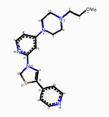 COCCN1CCN(c2ccnc(N3C=C(c4ccncc4)SC3)c2)CC1